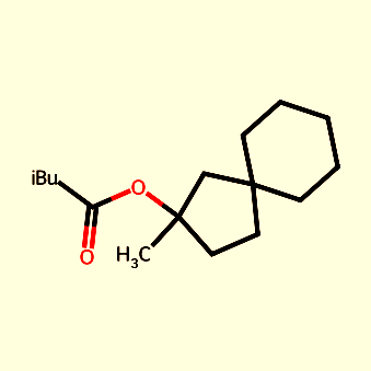 CCC(C)C(=O)OC1(C)CCC2(CCCCC2)C1